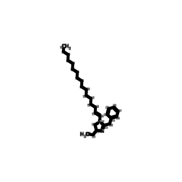 CCCCCCCCCCCCCCCC=CN1CC(CC)N=C1Cc1ccccc1